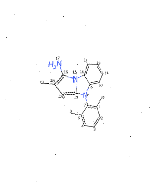 Cc1cccc(C)c1-n1c2ccccc2n2c(N)c(C)cc12